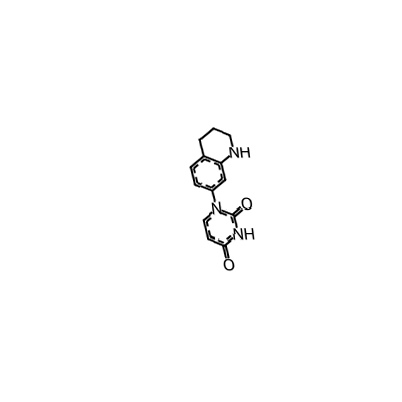 O=c1ccn(-c2ccc3c(c2)NCCC3)c(=O)[nH]1